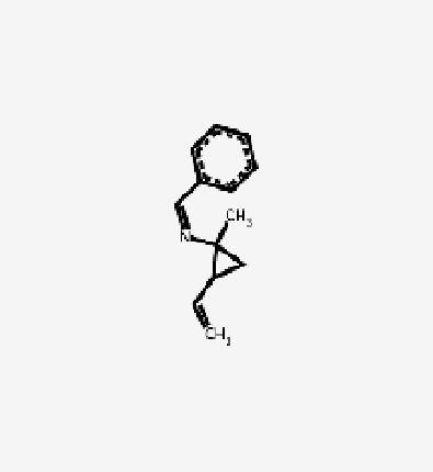 C=CC1CC1(C)/N=C\c1ccccc1